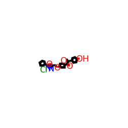 O=c1c(-c2ccc(O)cc2)coc2cc(OCc3nnc(-c4ccccc4Cl)o3)ccc12